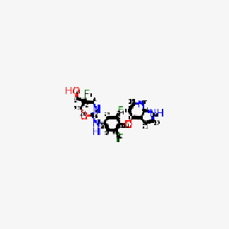 OC[C@]1(F)CN=C(Nc2cc(F)c(Oc3ccnc4[nH]ccc34)c(F)c2)OC1